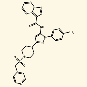 Cc1ccc(-n2nc(C3CCN(S(=O)(=O)Cc4ccncc4)CC3)cc2NC(=O)c2cnn3cccnc23)cc1